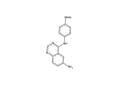 Bc1ccc2ncnc(Nc3ccc(NC(C)=O)cc3)c2c1